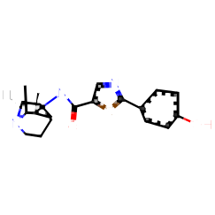 C[C@H]1[C@H](NC(=O)c2cnc(-c3ccc(O)cc3)s2)C2CCN1CC2